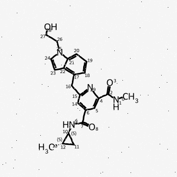 CNC(=O)c1cc(C(=O)N[C@H]2C[C@@H]2C)cc(Cc2cccc3c2ccn3CCO)n1